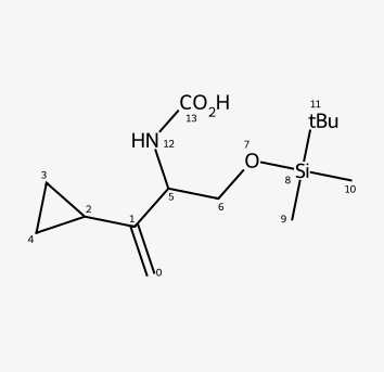 C=C(C1CC1)C(CO[Si](C)(C)C(C)(C)C)NC(=O)O